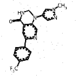 Cn1cc(N2CNC(=O)c3cc(-c4ccc(C(F)(F)F)cc4)ncc32)cn1